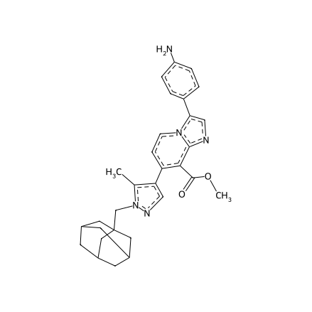 COC(=O)c1c(-c2cnn(CC34CC5CC(CC(C5)C3)C4)c2C)ccn2c(-c3ccc(N)cc3)cnc12